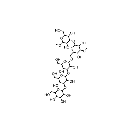 CO[C@@H]1OC(CO)[C@@H](O)[C@H](O[C@@H]2OC(CO[C@@H]3OC(CO)[C@@H](O)[C@H](O[C@@H]4OC(CO)[C@@H](O)[C@H](O[C@@H]5OC(CO)[C@@H](O)[C@H](O)C5O)C4O)C3O)[C@@H](O)[C@H](OC)C2O)C1O